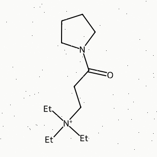 CC[N+](CC)(CC)CCC(=O)N1CCCC1